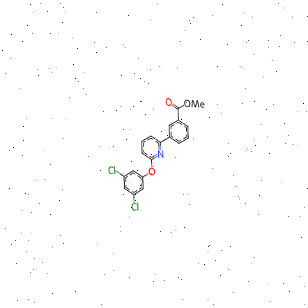 COC(=O)c1cccc(-c2cccc(Oc3cc(Cl)cc(Cl)c3)n2)c1